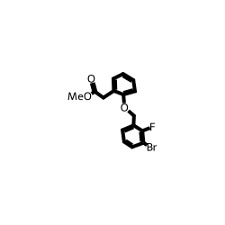 COC(=O)Cc1ccccc1OCc1cccc(Br)c1F